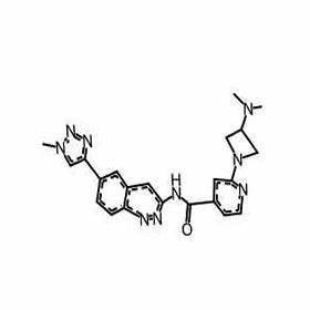 CN(C)C1CN(c2cc(C(=O)Nc3cc4cc(-c5cn(C)nn5)ccc4nn3)ccn2)C1